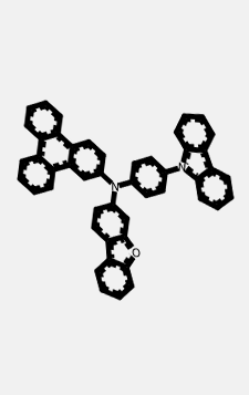 c1ccc2c(c1)oc1cc(N(c3ccc(-n4c5ccccc5c5ccccc54)cc3)c3ccc4c5ccccc5c5ccccc5c4c3)ccc12